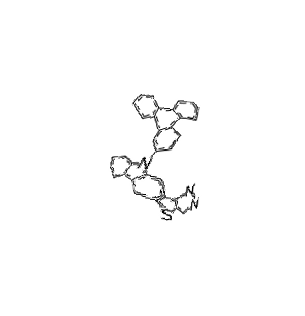 c1ccc2c(c1)c1ccccc1c1cc(-n3c4ccccc4c4cc5sc6cncnc6c5cc43)ccc21